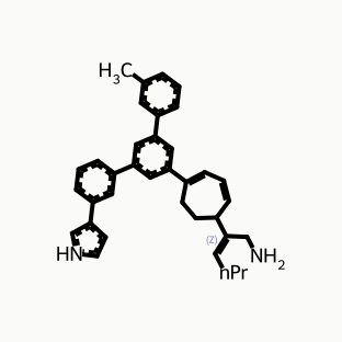 CCC/C=C(\CN)C1C=CC=C(c2cc(-c3cccc(C)c3)cc(-c3cccc(-c4cc[nH]c4)c3)c2)CC1